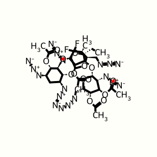 CC[C@H]1O[C@@H](O[C@@H]2[C@@H](OC(C)=O)[C@H](N=[N+]=[N-])C[C@H](N=[N+]=[N-])[C@H]2O[C@H]2O[C@H](CN=[N+]=[N-])[C@@H](C)C(F)(F)[C@H]2N=[N+]=[N-])[C@H](OC(C)=O)[C@@H]1O[C@H]1O[C@@H](CN=[N+]=[N-])[C@@H](OC(C)=O)[C@H](OC(C)=O)[C@H]1N=[N+]=[N-]